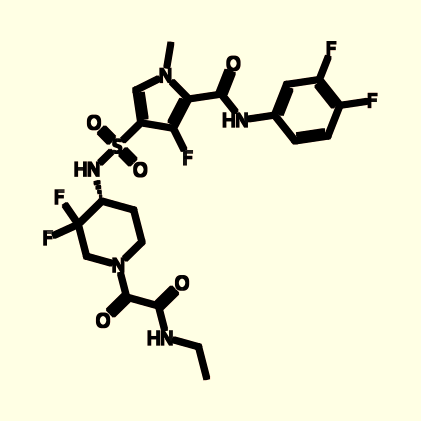 CCNC(=O)C(=O)N1CC[C@@H](NS(=O)(=O)c2cn(C)c(C(=O)Nc3ccc(F)c(F)c3)c2F)C(F)(F)C1